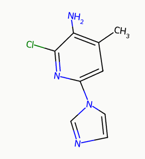 Cc1cc(-n2ccnc2)nc(Cl)c1N